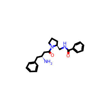 N[C@@H](CC(=O)N1CCC[C@H]1CNC(=O)c1ccccc1)Cc1ccccc1